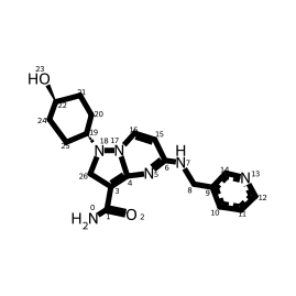 NC(=O)C1=C2N=C(NCc3cccnc3)C=CN2N([C@H]2CC[C@H](O)CC2)C1